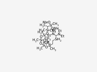 CCN(CC)C([SiH2]CC[Si](C)(C)O[Si](C)(C)O[Si](C)(C)O[Si](C)(C)O[Si](C)(C)C(C)[Si](C)(OC)OC)N(CC)CC